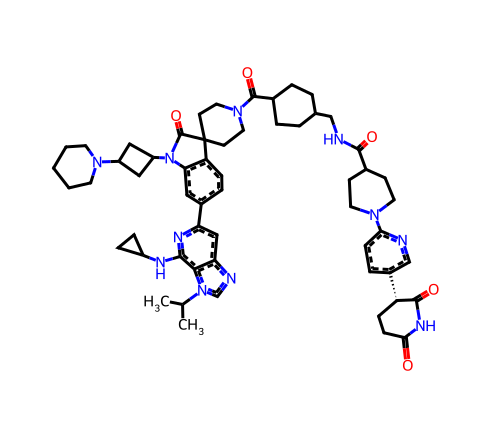 CC(C)n1cnc2cc(-c3ccc4c(c3)N(C3CC(N5CCCCC5)C3)C(=O)C43CCN(C(=O)C4CCC(CNC(=O)C5CCN(c6ccc([C@H]7CCC(=O)NC7=O)cn6)CC5)CC4)CC3)nc(NC3CC3)c21